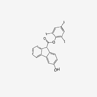 O=C(Oc1c(I)cc(I)cc1I)C1c2ccccc2-c2cc(O)ccc21